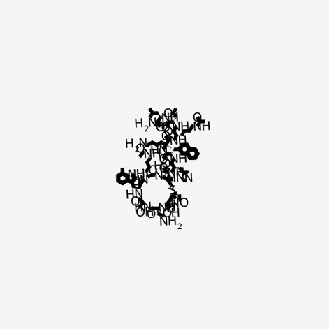 CC(=O)C[C@H](NC(=O)[C@H](CCCCNC(C)=O)NC(=O)[C@](C)(CCCCN)NC(=O)[C@H](Cc1ccc2ccccc2c1)NC(=O)[C@H](Cc1cnc[nH]1)NC(=O)[C@H]1NC(=O)[C@H](CCCCNC(C)=O)NC(=O)[C@H](Cc2c[nH]c3c(C)cccc23)NC(=O)[C@H]([C@@H](C)O)NC(=O)[C@H](CC(N)=O)NC(=O)[C@@H](NC(C)=O)C(C)(C)SSC1(C)C)C(=O)N[C@H](CC(C)C)C(N)=O